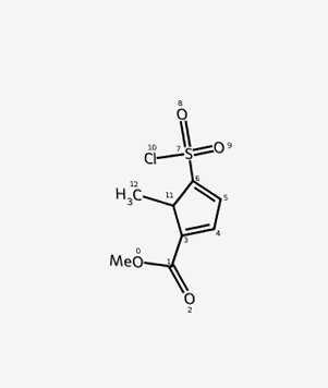 COC(=O)C1=CC=C(S(=O)(=O)Cl)C1C